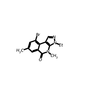 CCn1ncc2c3c(Br)cc(C)cc3c(=O)n(C)c21